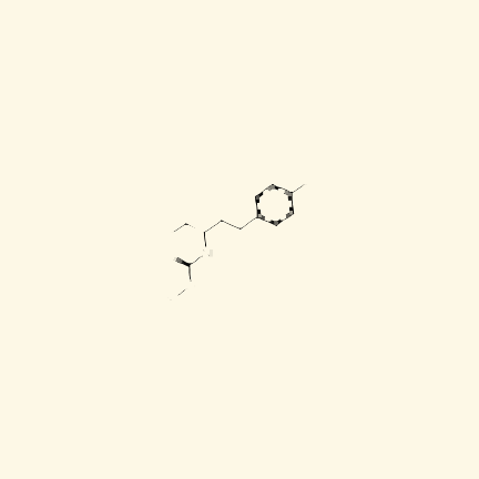 CC(C)(C)OC(=O)N[C@@H](CO)CCc1ccc(C(F)(F)F)cc1